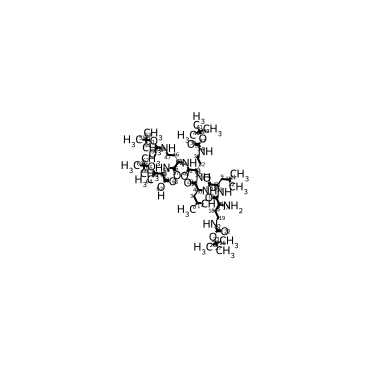 CC(C)C[C@H](NC(=O)[C@@H](CC(C)C)NC(=O)[C@@H](N)CCNC(=O)OC(C)(C)C)C(=O)N[C@@H](CCNC(=O)OC(C)(C)C)C(=O)N[C@@H](CCNC(=O)OC(C)(C)C)C(=O)N[C@H](C(=O)O)[C@@H](C)OC(C)(C)C